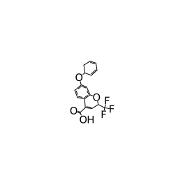 O=C(O)C1=CC(C(F)(F)F)Oc2cc(OC3C=CC=CC3)ccc21